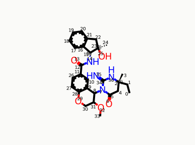 CC[C@]1(C)CC(=O)N(C2c3cc(C(=O)N[C@@H]4c5ccccc5C[C@@]4(C)O)ccc3OCC2OC)C(=N)N1